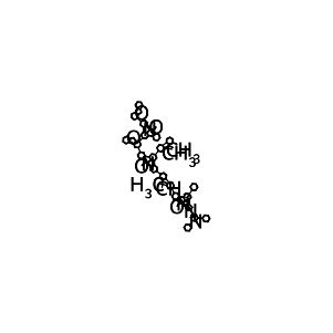 CC1(C)c2ccccc2-c2ccc(-c3cc4c5cc(-c6cc(-c7cc8c9ccccc9c(=O)n9c%10ccc(-c%11cccc%12c%11oc%11ccccc%11%12)cc%10c(c7)c89)c7oc8ccccc8c7c6)ccc5c(=O)n5c6ccc(-c7ccc8c(c7)C(C)(C)c7cc(-c9ccc%10c(=O)n%11c%12cn(-c%13cc(-c%14ccccc%14)nc(-c%14ccccc%14)c%13)cc%12c%12cc(-c%13ccccc%13)cc(c%10c9)c%12%11)ccc7-8)cc6c(c3)c45)cc21